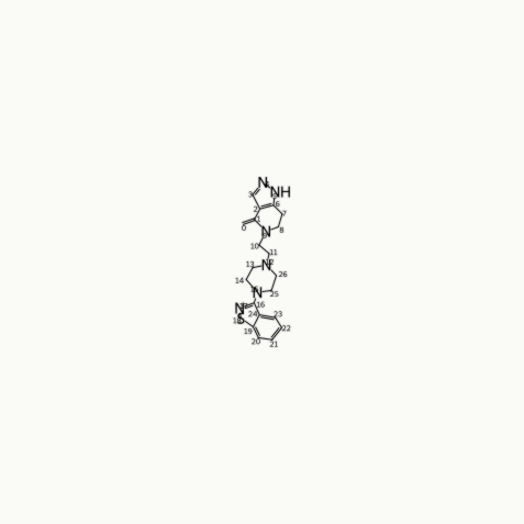 C=C1c2cn[nH]c2CCN1CCN1CCN(c2nsc3ccccc23)CC1